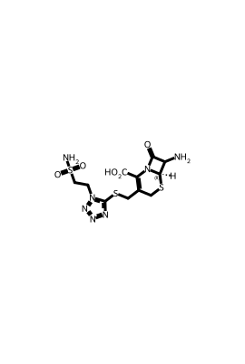 NC1C(=O)N2C(C(=O)O)=C(CSc3nnnn3CCS(N)(=O)=O)CS[C@H]12